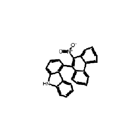 O=[N+]([O-])c1c(-c2cccc3[nH]c4ccccc4c23)c2ccccc2c2ccccc12